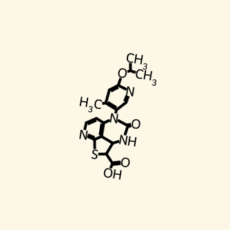 Cc1cc(OC(C)C)ncc1N1C(=O)NC2c3c1ccnc3SC2C(=O)O